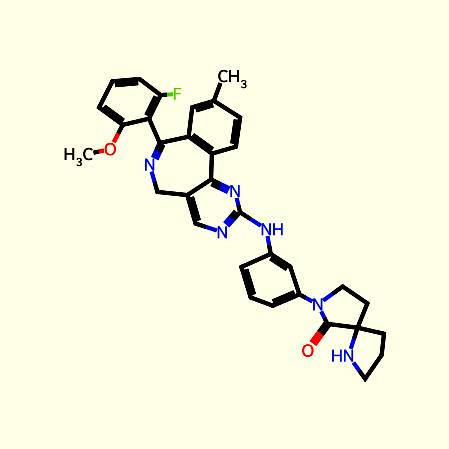 COc1cccc(F)c1C1=NCc2cnc(Nc3cccc(N4CCC5(CCCN5)C4=O)c3)nc2-c2ccc(C)cc21